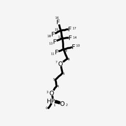 C[PH](=O)OCCCOCC(F)(F)C(F)(F)C(F)(F)F